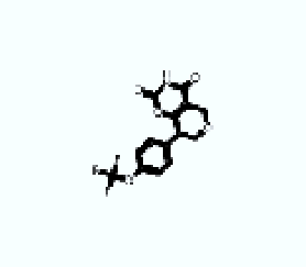 O=c1[nH]c(=O)c2c(o1)C(c1ccc(OC(F)(F)F)cc1)COC2